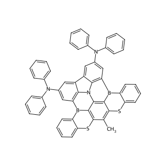 Cc1c2c3c4c5c1Sc1ccccc1B5c1cc(N(c5ccccc5)c5ccccc5)cc5c6cc(N(c7ccccc7)c7ccccc7)cc(c6n-4c15)B3c1ccccc1S2